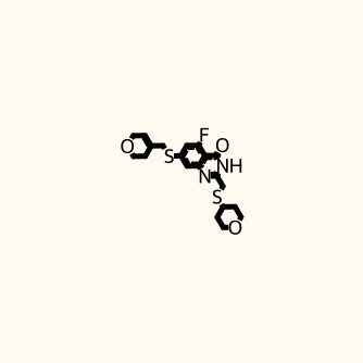 O=c1[nH]c(CSC2CCOCC2)nc2cc(SCC3=CCOCC3)cc(F)c12